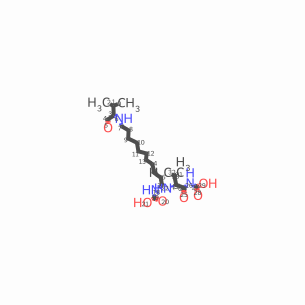 CC(C)C(C=O)NCCCCCCCCCCC(NC(=O)O)N[C@H](C(=O)NC(=O)O)C(C)C